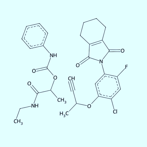 C#CC(C)Oc1cc(N2C(=O)C3=C(CCCC3)C2=O)c(F)cc1Cl.CCNC(=O)C(C)OC(=O)Nc1ccccc1